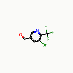 O=Cc1cnc(C(F)(F)F)c(Br)c1